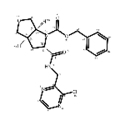 O=C(NCc1nccnc1Cl)[C@@H]1C[C@H]2COC[C@H]2N1C(=O)OCc1ccccc1